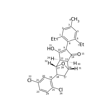 CCc1cc(C)cc(CC)c1C1=C(O)[C@H]2[C@@H](C1=O)[C@@H]1CC(c3cc(Cl)ccc3Cl)[C@H]2O1